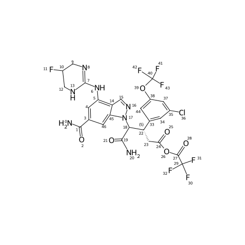 NC(=O)c1cc(NC2=NCC(F)CN2)c2cnn(C(C(N)=O)[C@@H](CC(=O)OC(=O)C(F)(F)F)c3cc(Cl)cc(OC(F)(F)F)c3)c2c1